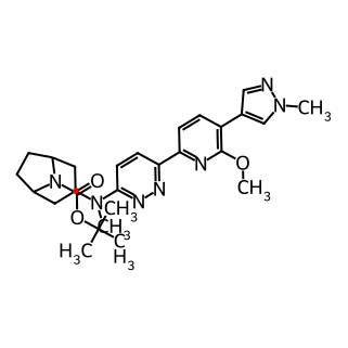 COc1nc(-c2ccc(N(C)C3CC4CCC(C3)N4C(=O)OC(C)(C)C)nn2)ccc1-c1cnn(C)c1